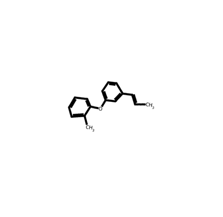 CC=Cc1[c]c(Oc2ccccc2C)ccc1